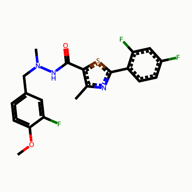 COC1=C=C=C(CN(C)NC(=O)c2sc(-c3ccc(F)cc3F)nc2C)C=C1F